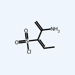 C=C(N)/C(=C\C)S(=O)(=O)Cl